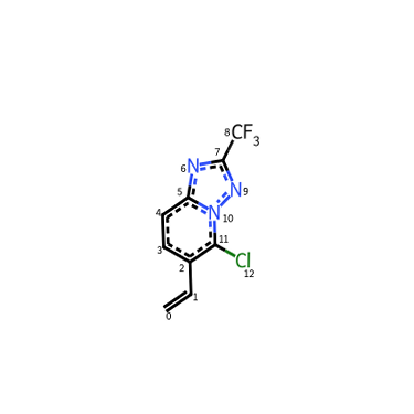 C=Cc1ccc2nc(C(F)(F)F)nn2c1Cl